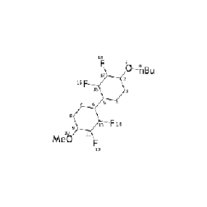 CCCCOC1CCC(C2CCC(OC)C(F)C2F)C(F)C1F